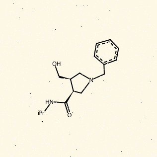 CC(C)NC(=O)[C@@H]1CN(Cc2ccccc2)C[C@@H]1CO